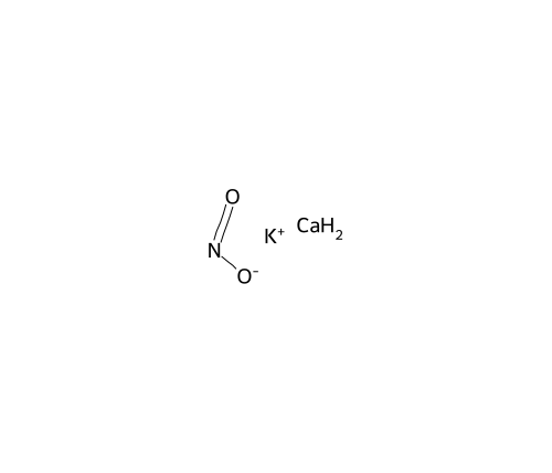 O=N[O-].[CaH2].[K+]